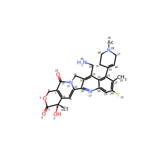 CC[C@@]1(O)C(=O)OCc2c1cc1n(c2=O)Cc2c-1nc1cc(F)c(C)c(C3=CCN(C(C)=O)CC3)c1c2CN